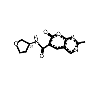 Cc1ncc2cc(C(=O)N[C@H]3CCOC3)c(=O)oc2n1